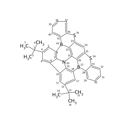 CC(C)(C)c1cc2c3c(c1)c1cc(C(C)(C)C)cc4c1n3-c1c3c(cc5c1B4c1ccccc1S5)Sc1ccccc1B32